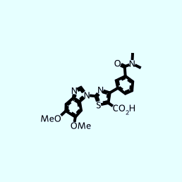 COc1cc2ncn(-c3nc(-c4cccc(C(=O)N(C)C)c4)c(C(=O)O)s3)c2cc1OC